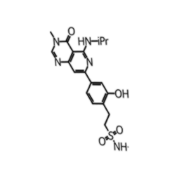 CC(C)Nc1nc(-c2ccc(CCS([NH])(=O)=O)c(O)c2)cc2ncn(C)c(=O)c12